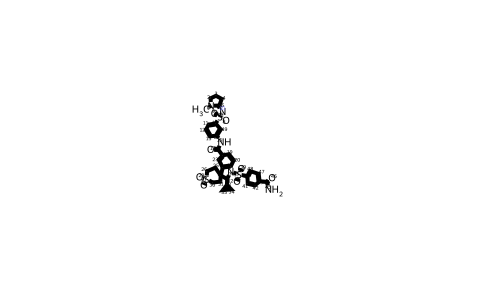 CN1CCC/C1=N/S(=O)(=O)c1cccc(NC(=O)c2ccc3c(c2)C2(CCS(=O)(=O)CC2)C(C2CC2)N3S(=O)(=O)c2ccc(C(N)=O)cc2)c1